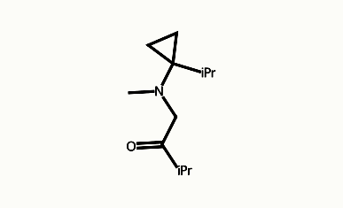 CC(C)C(=O)CN(C)C1(C(C)C)CC1